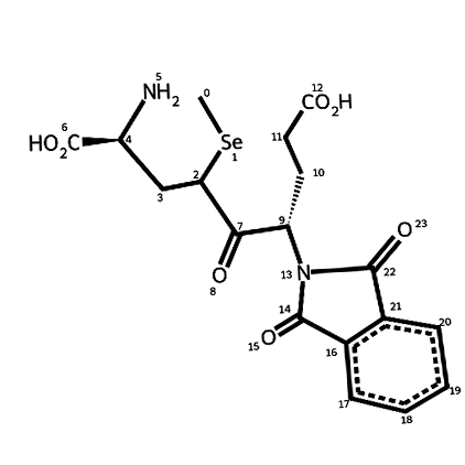 C[Se]C(C[C@H](N)C(=O)O)C(=O)[C@H](CCC(=O)O)N1C(=O)c2ccccc2C1=O